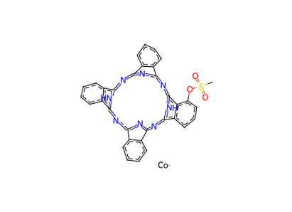 CS(=O)(=O)Oc1cccc2c3nc4nc(nc5[nH]c(nc6nc(nc([nH]3)c12)-c1ccccc1-6)c1ccccc51)-c1ccccc1-4.[Co]